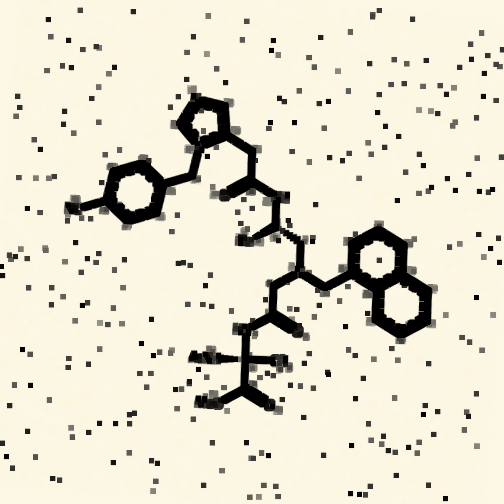 CC[C@H](C)[C@@H](CN(CC(=O)N[C@](C)(NC(C)=O)C(=O)OC)Cc1cccc2ccccc12)NC(=O)Cc1cncn1Cc1ccc(C#N)cc1